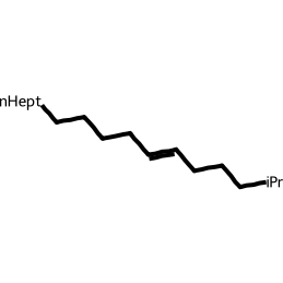 [CH2]C(C)CCCC=CCCCCCCCCCCC